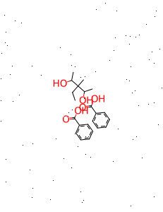 CCC(C)(C(C)O)C(C)O.O=C(O)c1ccccc1.O=C(O)c1ccccc1